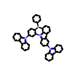 c1ccc(B2c3ccc(-n4c5ccccc5c5ccccc54)cc3-n3c4ccc(-n5c6ccccc6c6ccccc65)cc4c4cccc2c43)cc1